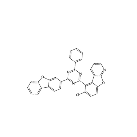 Clc1ccc2oc3ncccc3c2c1-c1nc(-c2ccccc2)nc(-c2ccc3c(c2)oc2ccccc23)n1